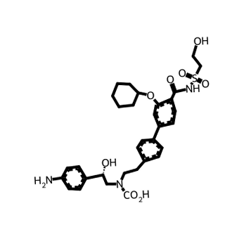 Nc1ccc([C@H](O)CN(CCc2ccc(-c3ccc(C(=O)NS(=O)(=O)CCO)c(OC4CCCCC4)c3)cc2)C(=O)O)cc1